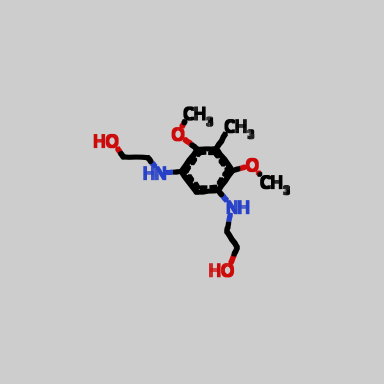 COc1c(NCCO)cc(NCCO)c(OC)c1C